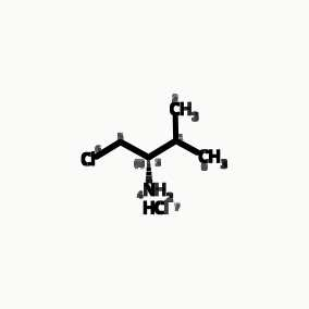 CC(C)[C@H](N)CCl.Cl